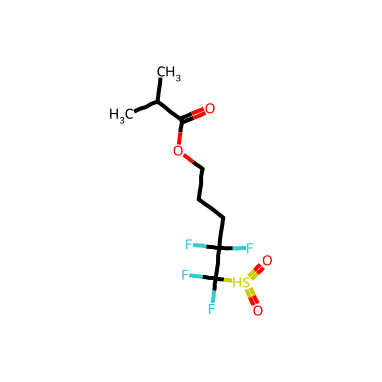 CC(C)C(=O)OCCCC(F)(F)C(F)(F)[SH](=O)=O